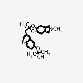 Cn1cc2ccc(OC(C)(C)Cc3cnc4ccc(OC(C)(C)C)cc4c3)cc2c1